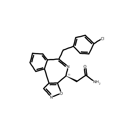 NC(=O)C[C@@H]1N=C(Cc2ccc(Cl)cc2)c2ccccc2-c2cnoc21